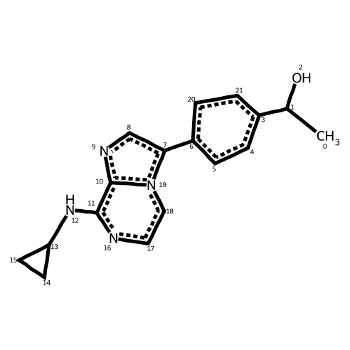 CC(O)c1ccc(-c2cnc3c(NC4CC4)nccn23)cc1